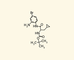 CC(C)(C)OC(=O)NC(CC1CC1)C(=O)Nc1ccc(Br)cc1N